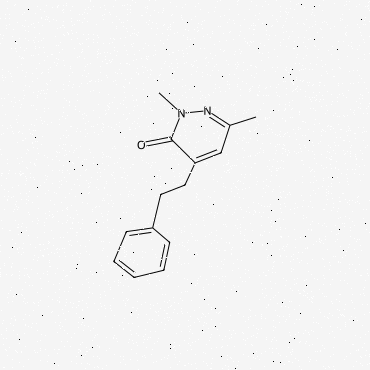 Cc1cc(CCc2ccccc2)c(=O)n(C)n1